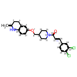 C=C1CCc2cc(OCC3CCN(C(=O)/C=C/c4ccc(Cl)c(Cl)c4)CC3)ccc2N1